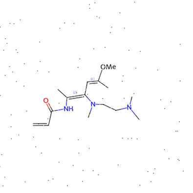 C=CC(=O)N/C(C)=C(/C=C(\C)OC)N(C)CCN(C)C